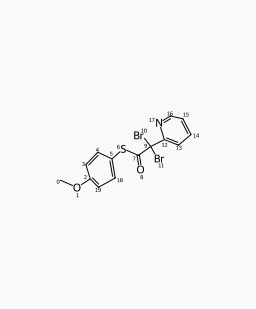 COc1ccc(SC(=O)C(Br)(Br)c2ccccn2)cc1